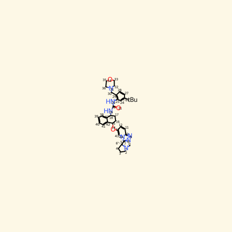 CN1CCC[C@@]1(C)c1nnc2ccc(O[C@@H]3CC[C@H](NC(=O)Nc4cc(C(C)(C)C)ccc4CN4CCOCC4)c4ccccc43)cn12